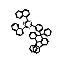 c1ccc(C2(c3cccc(-c4nc(-c5cccc6ccccc56)nc(-c5cccc6ccccc56)n4)c3)c3ccccc3C3(c4ccccc4)c4ccccc4-c4cccc2c43)cc1